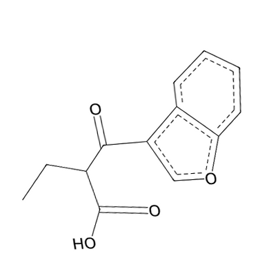 CCC(C(=O)O)C(=O)c1coc2ccccc12